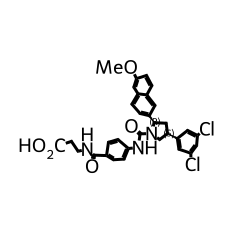 COc1ccc2cc([C@H]3C[C@@H](c4cc(Cl)cc(Cl)c4)CN3C(=O)Nc3ccc(C(=O)NCCC(=O)O)cc3)ccc2c1